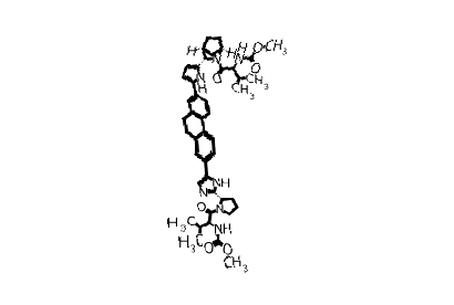 COC(=O)N[C@H](C(=O)N1CCC[C@H]1c1ncc(-c2ccc3c(c2)CCc2cc(-c4ccc([C@@H]5[C@H]6CC[C@H](C6)N5C(=O)[C@@H](NC(=O)OC)C(C)C)[nH]4)ccc2-3)[nH]1)C(C)C